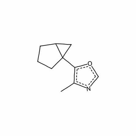 Cc1ncoc1C12CCCC1C2